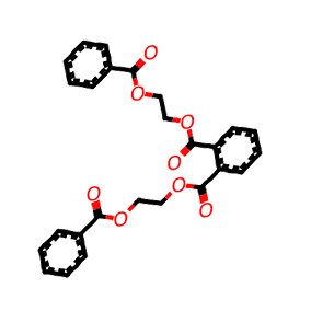 O=C(OCCOC(=O)c1ccccc1C(=O)OCCOC(=O)c1ccccc1)c1ccccc1